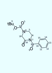 CC(C)(C)OC(=O)N1CCN(C(=O)c2ccccc2)C(=O)C1